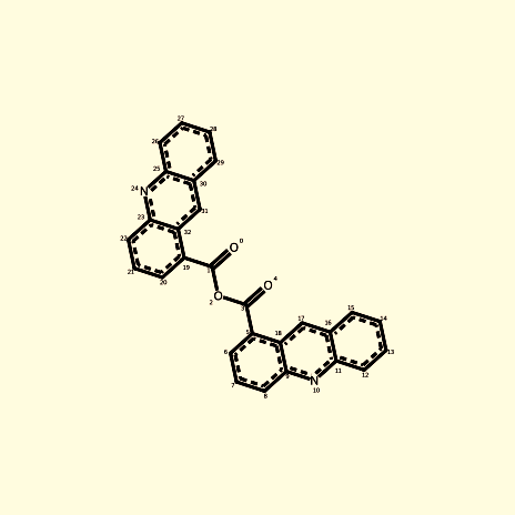 O=C(OC(=O)c1cccc2nc3ccccc3cc12)c1cccc2nc3ccccc3cc12